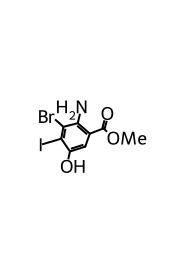 COC(=O)c1cc(O)c(I)c(Br)c1N